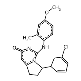 COc1ccc(Nc2nc(=O)cc3n2C(C2C=CC=C(Cl)C2)CC3)c(C)c1